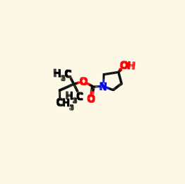 CCC(C)(C)OC(=O)N1CC[C@H](O)C1